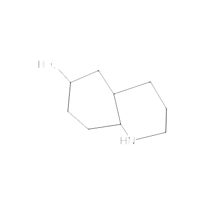 CC1CCC2NCCCC2C1